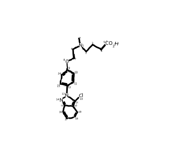 CN(CCCC(=O)O)CCOc1ccc(-n2nc3ccccc3c2Cl)cc1